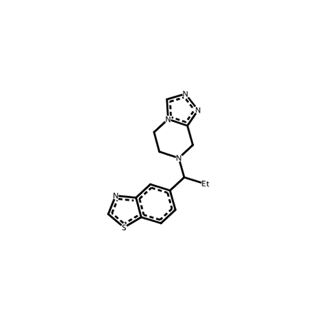 CCC(c1ccc2scnc2c1)N1CCn2cnnc2C1